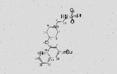 CCCCc1cc(OC2CCN(CCNS(=O)(=O)CC)CC2)c2ncccc2c1